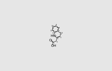 O=C(O)CC1=CSc2ccccc2N1